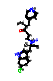 CN[C@@H](Cc1ccncc1)C(=O)CCNC(C)(Cc1c[nH]c2cc(Cl)ccc12)C(C)=O